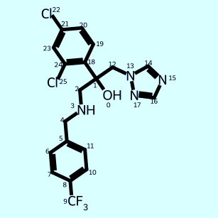 OC(CNCc1ccc(C(F)(F)F)cc1)(Cn1cncn1)c1ccc(Cl)cc1Cl